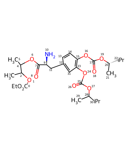 CCOC(=O)OC(C)C(C)OC(=O)[C@@H](N)Cc1ccc(OC(=O)O[C@@H](C)C(C)C)c(OC(=O)OC(C)C(C)C)c1